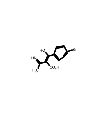 CC(=N)/C(C(=O)O)=C(\O)c1ccc(Br)cc1